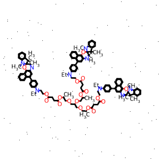 CCN(CCOC(=O)CCC(=O)OC(C)COCC(COCC(C)OC(=O)CCC(=O)OCCN(CC)c1ccc(-c2cc3c(c4ccccc24)OC2(C=N3)N(C)c3ccccc3C2(C)C)cc1)OCC(C)OC(=O)CCC(=O)OCCN(CC)c1ccc(-c2cc3c(c4ccccc24)OC2(C=N3)N(C)c3ccccc3C2(C)C)cc1)c1ccc(-c2cc3c(c4ccccc24)OC2(C=N3)N(C)c3ccccc3C2(C)C)cc1